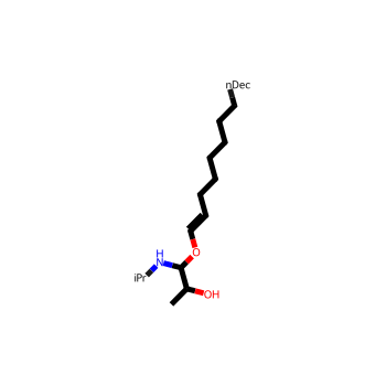 CCCCCCCCCCCCCCCCC=COC(NC(C)C)C(C)O